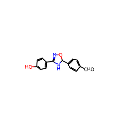 O=Cc1ccc(C2NC(c3ccc(O)cc3)=NO2)cc1